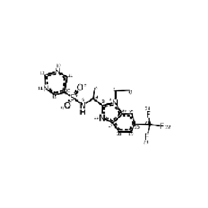 CCn1c(C(C)NS(=O)(=O)c2cncnc2)nc2ccc(C(F)(F)F)cc21